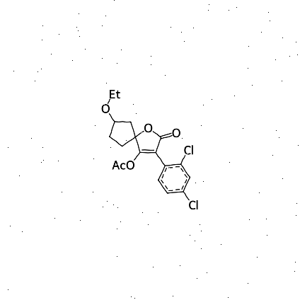 CCOC1CCC2(C1)OC(=O)C(c1ccc(Cl)cc1Cl)=C2OC(C)=O